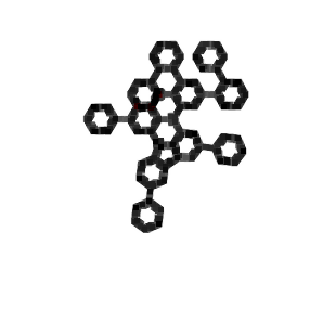 c1ccc(-c2cc3c4c(c2)-n2c5ccc(-c6ccccc6)cc5c5cc(-c6ccccc6)cc(c52)B4c2cc(-c4ccccc4-c4ccccc4)cc(-c4ccccc4-c4ccccc4)c2O3)cc1